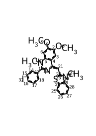 COc1cc2c(cc1OC)N(C)C(c1ccccc1)=N/C2=C\c1sc2ccccc2[n+]1C.[I-]